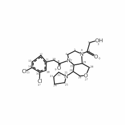 O=C(CO)N1CCN(C(=O)Cc2ccc(Cl)c(Cl)c2)C2C(N3CCCC3)COCC21